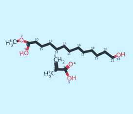 C=C(C)C(=O)O.COC(O)CCCCCCCCCCCCO